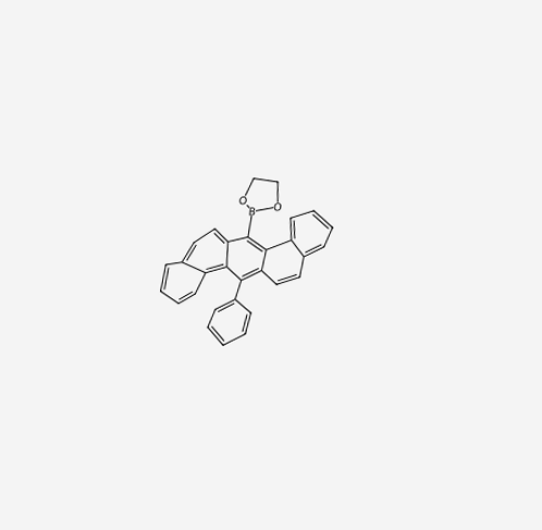 c1ccc(-c2c3ccc4ccccc4c3c(B3OCCO3)c3ccc4ccccc4c23)cc1